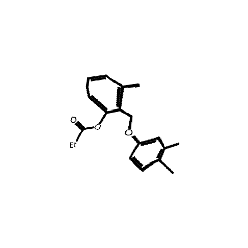 CCC(=O)Oc1cccc(C)c1COc1ccc(C)c(C)c1